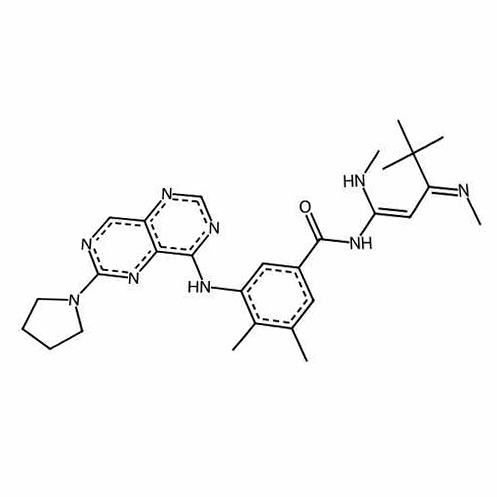 C/N=C(\C=C(/NC)NC(=O)c1cc(C)c(C)c(Nc2ncnc3cnc(N4CCCC4)nc23)c1)C(C)(C)C